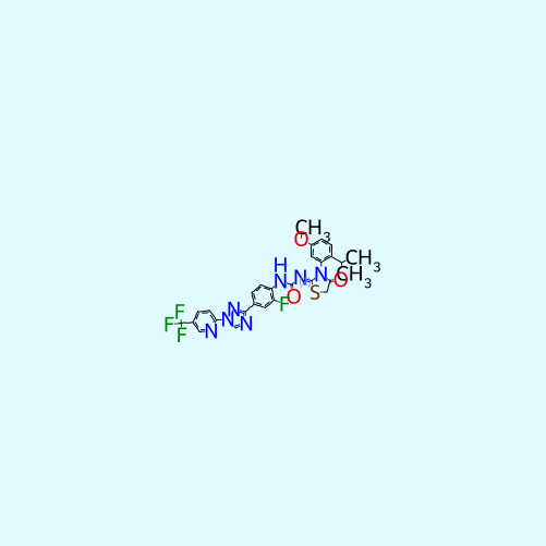 COc1ccc(C(C)C)c(N2C(=O)CS/C2=N\C(=O)Nc2ccc(-c3ncn(-c4ccc(C(F)(F)F)cn4)n3)cc2F)c1